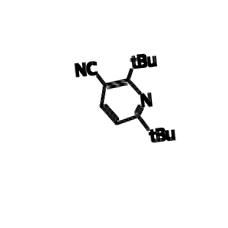 CC(C)(C)c1ccc(C#N)c(C(C)(C)C)n1